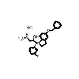 CNC[C@@H](O)[C@H](c1cccc(F)c1)N1CCc2cc(OCc3ccccc3)ccc21.Cl